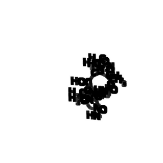 CCn1c(-c2cccnc2[C@H](C)OC)c2c3cc(ccc31)-c1cc(O)cc(c1)C[C@H](NC(=O)C(C(C)C)N1CCCN(C(=O)[C@@H]3CN3)CCCC1=O)C(=O)N1CCC[C@H](N1)C(=O)OCC(C)(C)C2